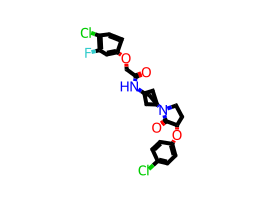 O=C(COc1ccc(Cl)c(F)c1)NC12CC(N3CCC(Oc4ccc(Cl)cc4)C3=O)(C1)C2